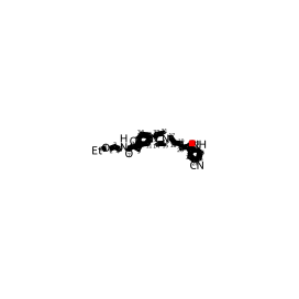 CCOCCCNC(=O)c1cc2cc(N3CCN(CCCCc4c[nH]c5ccc(C#N)cc45)CC3)ccc2o1